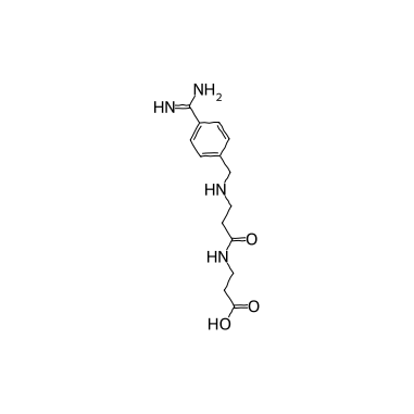 N=C(N)c1ccc(CNCCC(=O)NCCC(=O)O)cc1